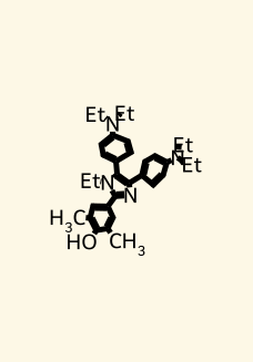 CCN(CC)c1ccc(-c2nc(-c3cc(C)c(O)c(C)c3)n(CC)c2-c2ccc(N(CC)CC)cc2)cc1